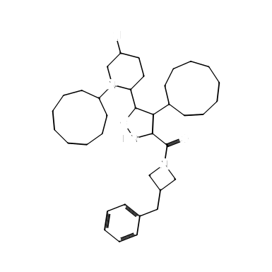 O=C(C1NOC(C2CCC(Cl)CN2C2CCCCCCCC2)C1C1CCCCCCCC1)N1CC(Cc2ccccc2)C1